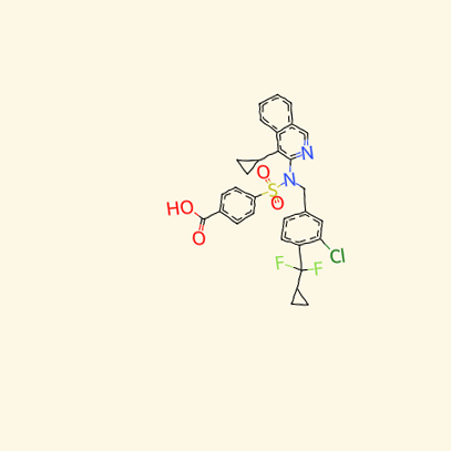 O=C(O)c1ccc(S(=O)(=O)N(Cc2ccc(C(F)(F)C3CC3)c(Cl)c2)c2ncc3ccccc3c2C2CC2)cc1